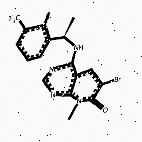 Cc1c([C@@H](C)Nc2ncnc3c2cc(Br)c(=O)n3C)cccc1C(F)(F)F